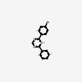 Brc1ccc(-c2ncnc(-c3ccccc3)n2)cc1